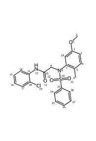 COc1ccc(C)c(N(CC(=O)Nc2ccccc2Cl)S(=O)(=O)c2ccccc2)c1